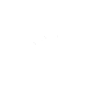 CN1CC(NCC(C)(C)C)C1